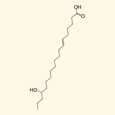 CCCC(O)CCCCCCCCC=CCCCCC(=O)O